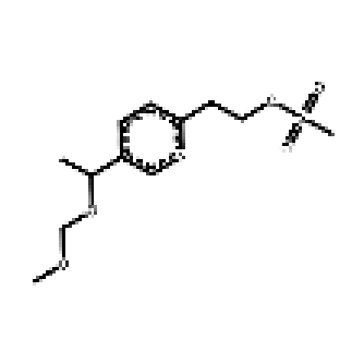 COCOC(C)c1ccc(CCOS(C)(=O)=O)nc1